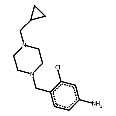 Nc1ccc(CN2CCN(CC3CC3)CC2)c(Cl)c1